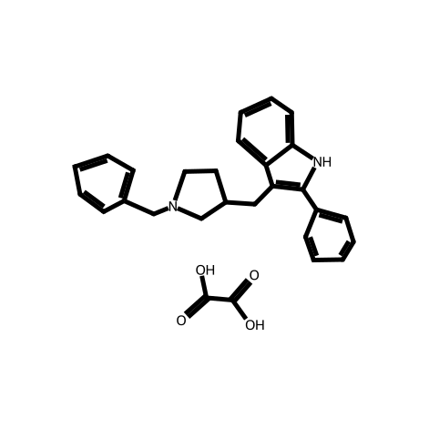 O=C(O)C(=O)O.c1ccc(CN2CCC(Cc3c(-c4ccccc4)[nH]c4ccccc34)C2)cc1